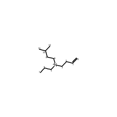 C=CCCN(CCC)CCC(C)C